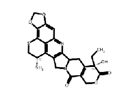 CC[C@@]1(O)C(=O)OCC2=C1CC1c3nc4cc5c(c6c4c(c3CN1C2=O)[C@H](N)CS6)OCO5